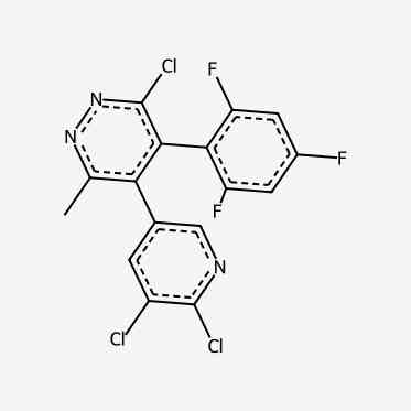 Cc1nnc(Cl)c(-c2c(F)cc(F)cc2F)c1-c1cnc(Cl)c(Cl)c1